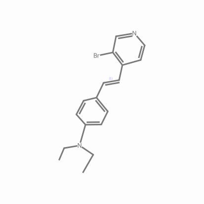 CCN(CC)c1ccc(/C=C/c2ccncc2Br)cc1